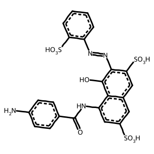 Nc1ccc(C(=O)Nc2cc(S(=O)(=O)O)cc3cc(S(=O)(=O)O)c(N=Nc4ccccc4S(=O)(=O)O)c(O)c23)cc1